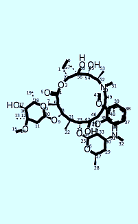 CC[C@H]1OC(=O)[C@H](C)[C@@H](O[C@H]2C[C@@](C)(OC)[C@@H](O)[C@H](C)O2)[C@H](C)[C@@H](O[C@@H]2O[C@H](C)C[C@H](NC)[C@H]2Oc2ccccc2OC)[C@](C)(O)C[C@@H](C)CN(C)[C@H](C)[C@@H](O)[C@]1(C)O